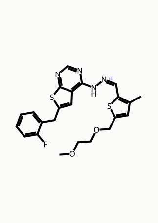 COCCOCc1cc(C)c(/C=N\Nc2ncnc3sc(Cc4ccccc4F)cc23)s1